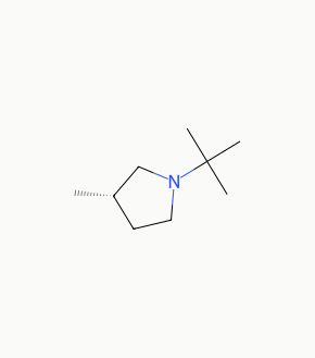 C[C@H]1CCN(C(C)(C)C)C1